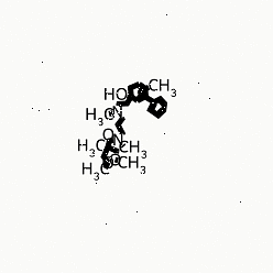 COCC(C)(COC)C(=O)N(C)CCCN(C)CCC1(O)CC2CCC1C(c1ccccc1)=C2C